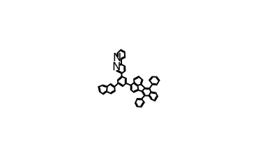 c1ccc(-c2c3c(c(-c4ccccc4)c4ccccc24)-c2ccc(-c4cc(-c5ccc(-c6ccccn6)nc5)cc(-c5ccc6ccccc6c5)c4)c4cccc-3c24)cc1